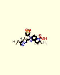 Cc1cnn(CC(C)c2nc3c4c(ccc3n2[C@@H]2CCS(=O)(=O)C2)N(C(=O)O)[C@@H](C)CC4)c1